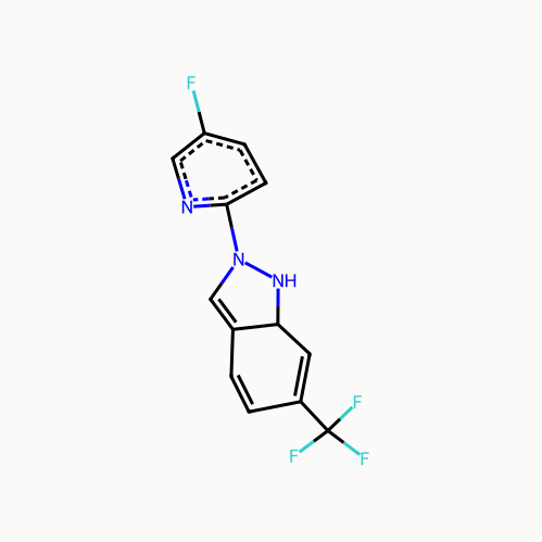 Fc1ccc(N2C=C3C=CC(C(F)(F)F)=CC3N2)nc1